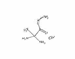 NOC(=O)C(N)(N)N.[Cu]